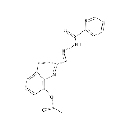 CC(=O)Oc1cccc2ccc(/C=N/NC(=O)c3ccccn3)nc12